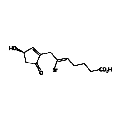 O=C(O)CCC/C=C(\Br)CC1=C[C@H](O)CC1=O